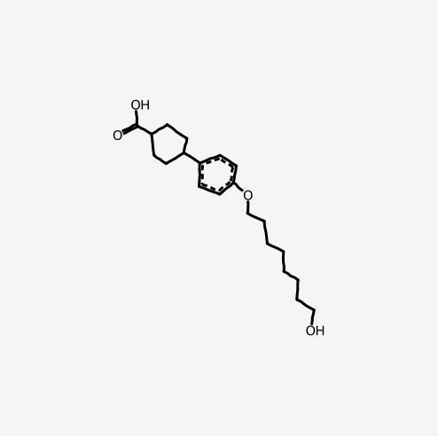 O=C(O)C1CCC(c2ccc(OCCCCCCCCO)cc2)CC1